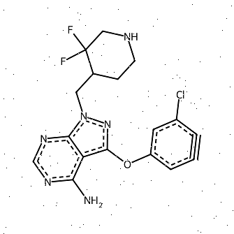 Nc1ncnc2c1c(Oc1cc#cc(Cl)c1)nn2CC1CCNCC1(F)F